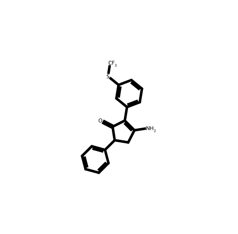 NC1=C(c2cccc(SC(F)(F)F)c2)C(=O)C(c2ccccc2)C1